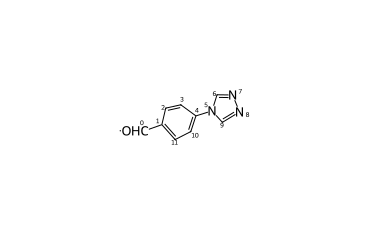 O=[C]c1ccc(-n2cnnc2)cc1